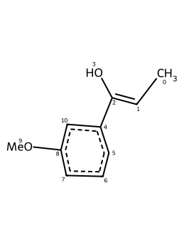 CC=C(O)c1cccc(OC)c1